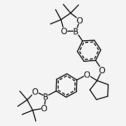 CC1(C)OB(c2ccc(OC3(Oc4ccc(B5OC(C)(C)C(C)(C)O5)cc4)CCCC3)cc2)OC1(C)C